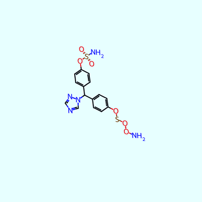 NOOSOc1ccc(C(c2ccc(OS(N)(=O)=O)cc2)n2cncn2)cc1